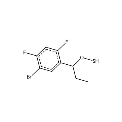 CCC(OS)c1cc(Br)c(F)cc1F